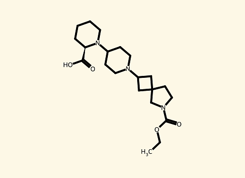 CCOC(=O)N1CCC2(CC(N3CCC(N4CCCC[C@@H]4C(=O)O)CC3)C2)C1